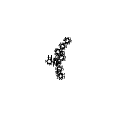 CC1(c2nc(-c3ccccc3)nc(-c3ccc4c(c3)sc3ccccc34)n2)CC=Cc2oc3c(-c4ccc(-c5ccccc5)cc4)cccc3c21